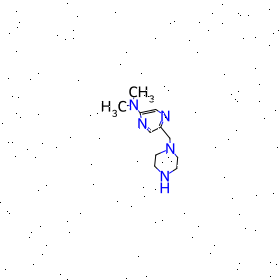 CN(C)c1cnc(CN2CCNCC2)cn1